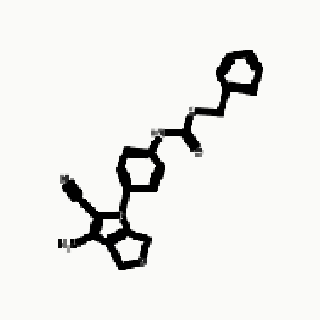 N#Cc1c(N)c2c(n1-c1ccc(NC(=O)OCc3ccccc3)cc1)COC2